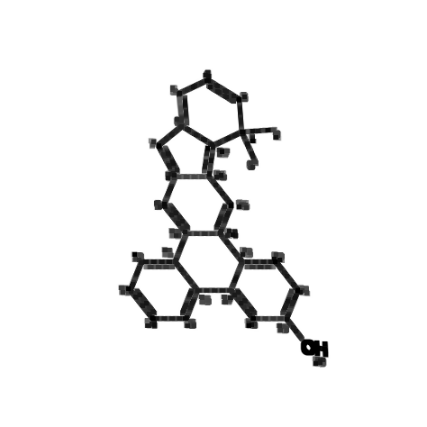 CC1(C)C=CC=C2C=c3cc4c5ccccc5c5cc(O)ccc5c4cc3=C21